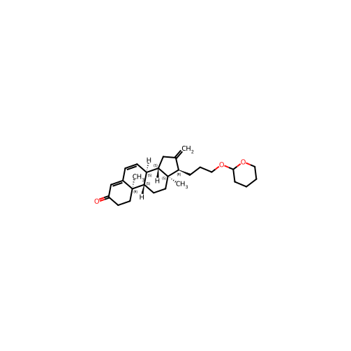 C=C1C[C@H]2[C@@H]3C=CC4=CC(=O)CC[C@]4(C)[C@H]3CC[C@]2(C)[C@@H]1CCCOC1CCCCO1